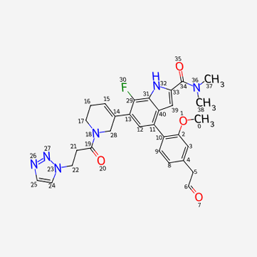 COc1cc(CC=O)ccc1-c1cc(C2=CCCN(C(=O)CCn3ccnn3)C2)c(F)c2[nH]c(C(=O)N(C)C)cc12